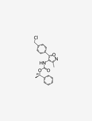 Cc1noc(-c2ccc(CCl)cc2)c1NC(=O)O[C@H](C)c1ccccc1